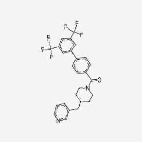 O=C(c1ccc(-c2cc(C(F)(F)F)cc(C(F)(F)F)c2)cc1)N1CCC(Cc2cccnc2)CC1